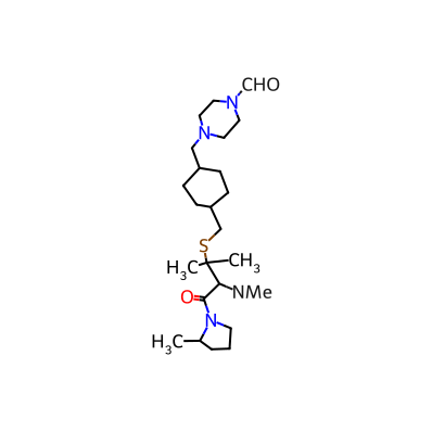 CNC(C(=O)N1CCCC1C)C(C)(C)SCC1CCC(CN2CCN(C=O)CC2)CC1